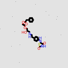 O=C1NC(=O)C(Nc2ccc(CCNC[C@H](O)COC3=COC(Cc4ccccc4)O3)cc2)S1